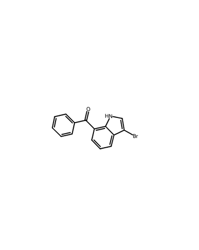 O=C(c1ccccc1)c1cccc2c(Br)c[nH]c12